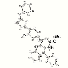 CC(C)(C)OC(=O)N[C@H](C(=O)Nc1ccc(-c2cnn(Cc3ccccc3)c2)c(F)c1)C(c1ccccc1)c1ccccc1